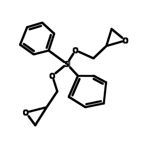 c1ccc([Si](OCC2CO2)(OCC2CO2)c2ccccc2)cc1